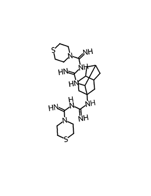 N=C(NC(=N)N1CCSCC1)NC1C2CC3CCC1(NC(=N)NC(=N)N1CCSCC1)CC3C2